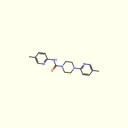 Cc1ccc(NC(=O)N2CCN(c3ccc(C)cn3)CC2)nc1